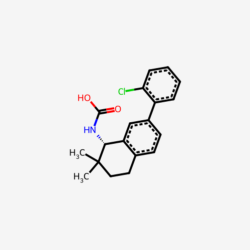 CC1(C)CCc2ccc(-c3ccccc3Cl)cc2[C@H]1NC(=O)O